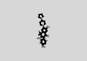 CCc1cc2c(cc1N1CCC(N3CCCC3)CC1)C(C)(C)c1[nH]c3cc(C#N)ccc3c1C2=O